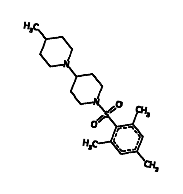 Cc1cc(C)c(S(=O)(=O)N2CCC(N3CCC(C)CC3)CC2)c(C)c1